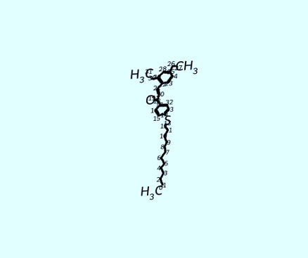 CCCCCCCCCCCCCSc1ccc(C(=O)C=Cc2ccc(CC)cc2CC)cc1